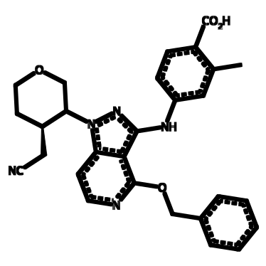 Cc1cc(Nc2nn(C3COCC[C@@H]3CC#N)c3ccnc(OCc4ccccc4)c23)ccc1C(=O)O